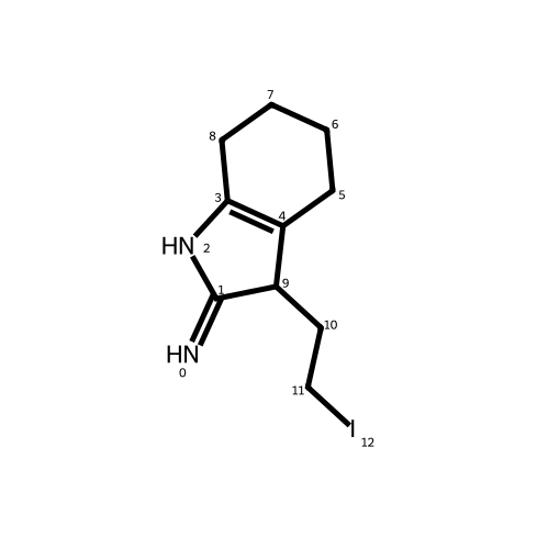 N=C1NC2=C(CCCC2)C1CCI